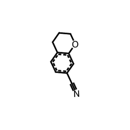 N#Cc1ccc2c(c1)OCCC2